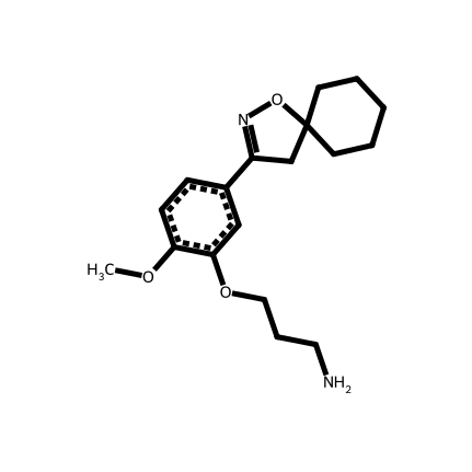 COc1ccc(C2=NOC3(CCCCC3)C2)cc1OCCCN